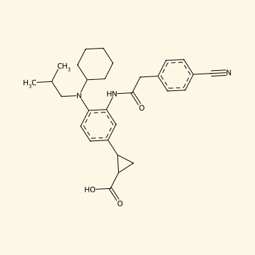 CC(C)CN(c1ccc(C2CC2C(=O)O)cc1NC(=O)Cc1ccc(C#N)cc1)C1CCCCC1